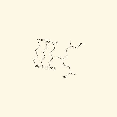 CC(O)COC(C)COC(C)CO.O=C(O)CCCCC(=O)O.O=C(O)CCCCC(=O)O.O=C(O)CCCCC(=O)O